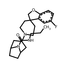 CCCNC(=O)N1C2CCC1CC(N1CCC3(CC1)COc1ccc(F)cc13)C2